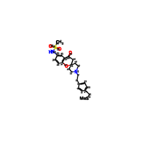 CSCc1ccc(CCN2CCC3(CC2)CC(=O)c2cc(NS(C)(=O)=O)ccc2O3)cc1